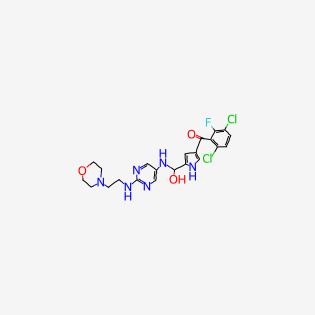 O=C(c1c[nH]c(C(O)Nc2cnc(NCCN3CCOCC3)nc2)c1)c1c(Cl)ccc(Cl)c1F